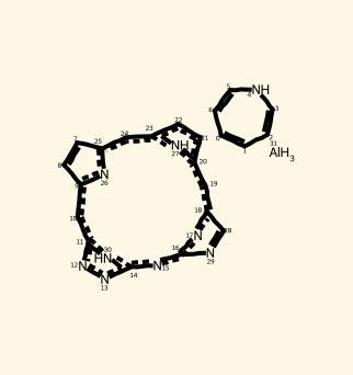 C1=CC=CNC=C1.C1=Cc2cc3nnc(nc4nc(cc5ccc(cc1n2)[nH]5)C=N4)[nH]3.[AlH3]